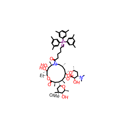 CC[C@H]1OC(=O)[C@H](C)[C@@H](C2C[C@@](C)(OC)[C@@H](O)[C@H](C)O2)[C@H](C)[C@@H](O[C@@H]2O[C@H](C)C[C@H](N(C)C)[C@H]2O)[C@](C)(O)C[C@@H](C)CN(C(=O)CCCCC[PH](c2cc(C)cc(C)c2)(c2cc(C)cc(C)c2)c2cc(C)cc(C)c2)[C@H](C)[C@@H](O)[C@]1(C)O